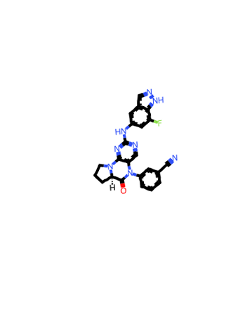 N#Cc1cccc(N2C(=O)[C@H]3CCCN3c3nc(Nc4cc(F)c5[nH]ncc5c4)ncc32)c1